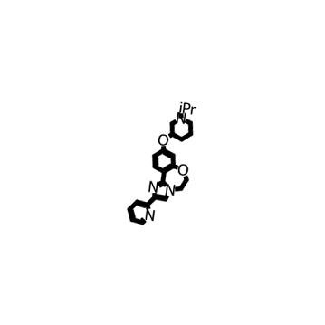 CC(C)N1CCCC(Oc2ccc3c(c2)OCCn2cc(-c4ccccn4)nc2-3)C1